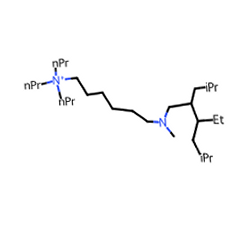 CCC[N+](CCC)(CCC)CCCCCCN(C)CC(CC(C)C)C(CC)CC(C)C